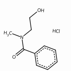 CN(CCO)C(=O)c1ccccc1.Cl